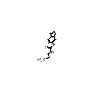 CCCNC(=O)Nc1ccc2cnsc2c1